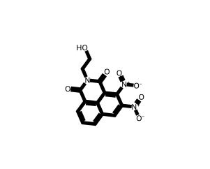 O=C1c2cccc3cc([N+](=O)[O-])c([N+](=O)[O-])c(c23)C(=O)N1CCO